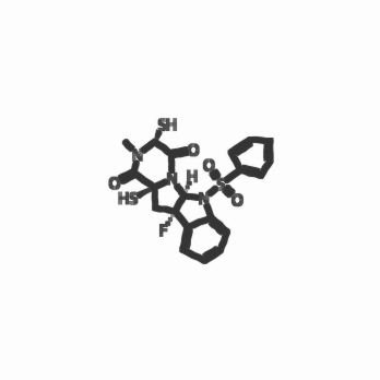 CN1C(=O)[C@@]2(S)C[C@]3(F)c4ccccc4N(S(=O)(=O)c4ccccc4)[C@@H]3N2C(=O)[C@@H]1S